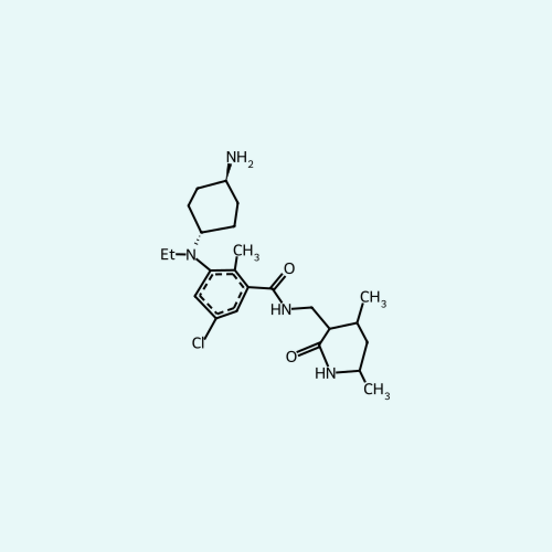 CCN(c1cc(Cl)cc(C(=O)NCC2C(=O)NC(C)CC2C)c1C)[C@H]1CC[C@H](N)CC1